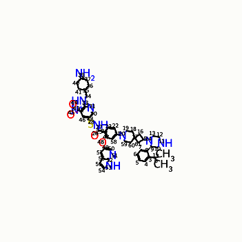 CC(C)c1ccccc1[C@@H]1CNCCN1C1CC2(CCN(c3ccc(C(=O)NSc4cnc(NCC5CCC(N)CC5)c([N+](=O)[O-])c4)c(Oc4cnc5[nH]ccc5c4)c3)CC2)C1